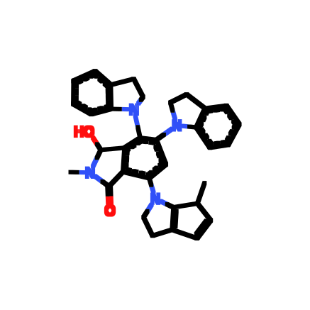 CC1C=CC2=C1N(c1cc(N3CCc4ccccc43)c(N3CCc4ccccc43)c3c1C(=O)N(C)C3O)CC2